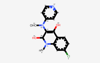 CCCN1c2cc(Cl)ccc2C(O)=C(N(C=O)c2ccncc2)C1O